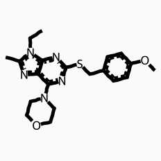 CCn1c(C)nc2c(N3CCOCC3)nc(SCc3ccc(OC)cc3)nc21